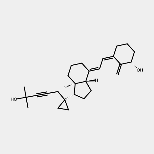 C=C1/C(=C\C=C2/CCC[C@]3(C)[C@@H](C4(CC#CC(C)(C)O)CC4)CC[C@@H]23)CCC[C@@H]1O